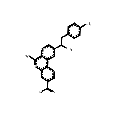 Cc1ccc(CC(C)c2cnc3c(N)nc4cc(C(=O)O)ccc4c3c2)cc1